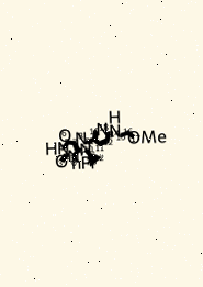 CCCn1c(=O)[nH]c(=O)c2nc(-c3ccc(NCCOC)nc3)n(C3CC3)c21